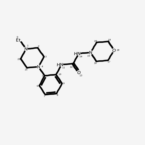 CCN1CCN(c2ccccc2NC(=O)NN2CCOCC2)CC1